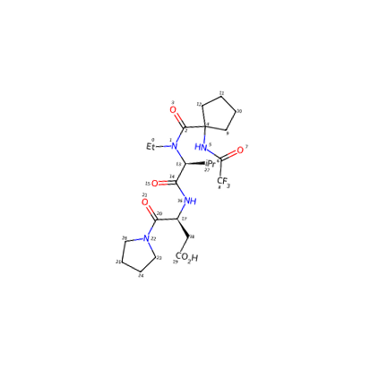 CCN(C(=O)C1(NC(=O)C(F)(F)F)CCCC1)[C@H](C(=O)N[C@@H](CC(=O)O)C(=O)N1CCCC1)C(C)C